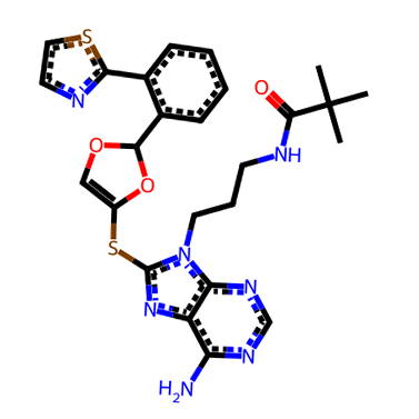 CC(C)(C)C(=O)NCCCn1c(SC2=COC(c3ccccc3-c3nccs3)O2)nc2c(N)ncnc21